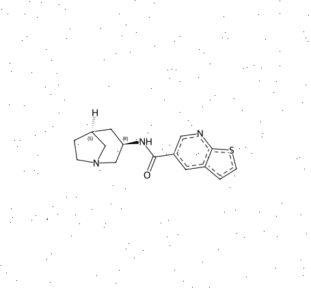 O=C(N[C@@H]1C[C@@H]2CCN(C2)C1)c1cnc2sccc2c1